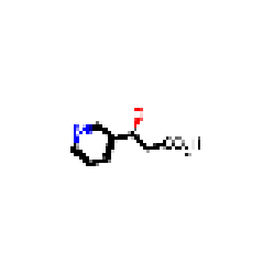 O=C(O)C[C@H](O)c1cccnc1